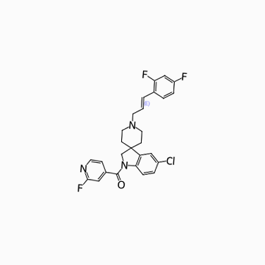 O=C(c1ccnc(F)c1)N1CC2(CCN(C/C=C/c3ccc(F)cc3F)CC2)c2cc(Cl)ccc21